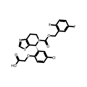 O=C(O)COc1ccc(Cl)cc1[C@@H]1c2scnc2CCN1C(=O)OCc1cc(F)ccc1F